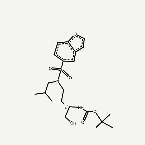 CC(C)CN(CC[C@@H](CO)NC(=O)OC(C)(C)C)S(=O)(=O)c1ccc2occc2c1